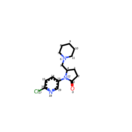 O=C1CCC(CN2CCCCC2)N1c1ccc(Cl)nc1